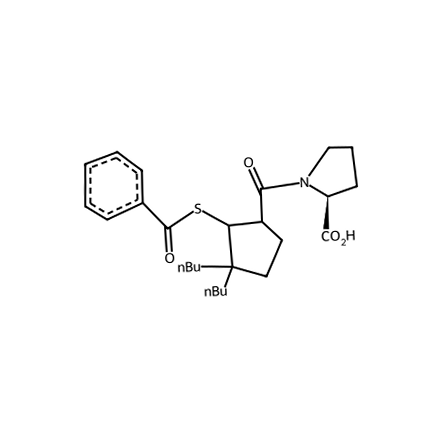 CCCCC1(CCCC)CCC(C(=O)N2CCC[C@H]2C(=O)O)C1SC(=O)c1ccccc1